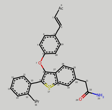 CC(=O)/C=C/c1ccc(Oc2c(-c3ccccc3C(C)C)sc3cc(CC(N)=O)ccc23)cc1